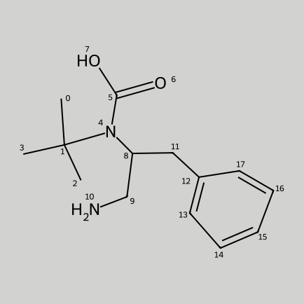 CC(C)(C)N(C(=O)O)C(CN)Cc1ccccc1